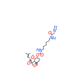 CNCC(=O)NCCCCCCNC(=O)OC1CC[C@]2(CO2)C(C2(C)O[C@@H]2CC=C(C)C)C1OC